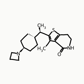 Cc1c([C@H](C)[C@H]2CC[C@H](N3CCC3)CC2)sc2c1C(=O)NCC2